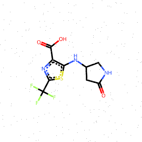 O=C1CC(Nc2sc(C(F)(F)F)nc2C(=O)O)CN1